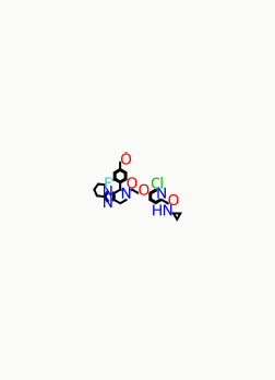 COCc1ccc(C2c3c(nc4n3CCCC4)CCN2C(=O)COc2ccc(C(=O)NC3CC3)nc2Cl)c(F)c1